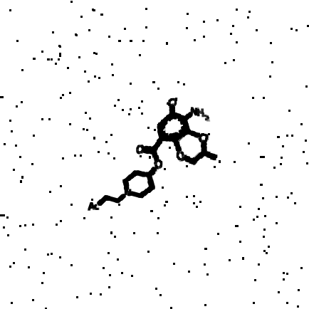 CC(=O)CCN1CCC(OC(=O)c2cc(Cl)c(N)c3c2OCC(C)O3)CC1